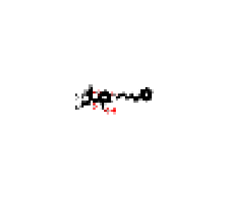 CC(=O)CCC1(C=O)C(=O)c2c(CO)cc(OCCCCCc3ccccc3)cc2OC1(C)C